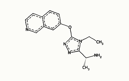 CCn1c(Oc2ccc3ccncc3c2)nnc1[C@@H](C)N